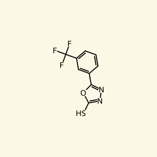 FC(F)(F)c1cccc(-c2nnc(S)o2)c1